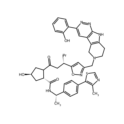 Cc1ncsc1-c1ccc([C@H](C)NC(=O)[C@@H]2C[C@@H](O)CC2C(=O)C[C@@H](c2cc(CN3CCc4[nH]c5nnc(-c6ccccc6O)cc5c4C3)no2)C(C)C)cc1